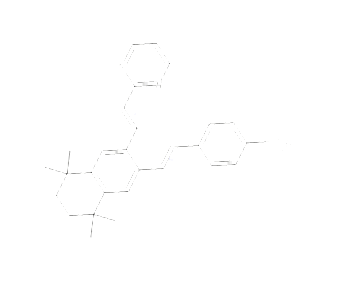 CC1(C)CCC(C)(C)c2cc(/C=C/c3ncccn3)c(/C=C/c3ccc(C(=O)O)cc3)cc21